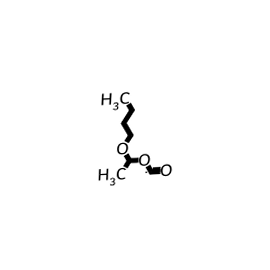 CCCCOC(C)O[C]=O